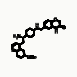 COc1ccc2nccc(C[C@@H](N)C3CCC(NCc4ccc5c(c4)NC(=O)CO5)CC3)c2c1